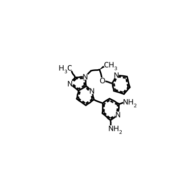 Cc1nc2ccc(-c3cc(N)nc(N)c3)nc2n1C[C@@H](C)Oc1ccccn1